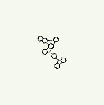 c1ccc2cc3c(cc2c1)c1c2c4ccccc4n(-c4ccc(-n5c6ccccc6c6cccnc65)cc4)c2cc2c4ccccc4n3c21